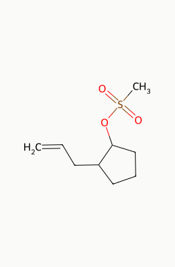 C=CCC1CCCC1OS(C)(=O)=O